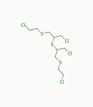 ClCCSCC(CCl)SC(CCl)CSCCCl